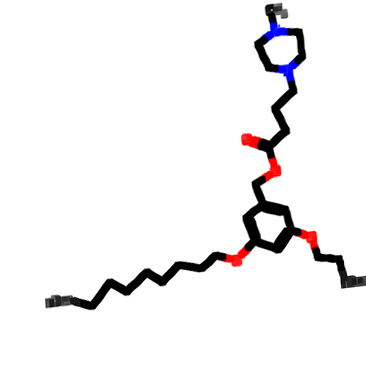 CCCCCCCCCCCCCCCCCCOc1cc(COC(=O)CCCN2CCN(C)CC2)cc(OCCCCCCCCCCCC)c1